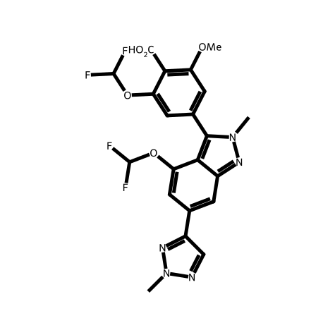 COc1cc(-c2c3c(OC(F)F)cc(-c4cnn(C)n4)cc3nn2C)cc(OC(F)F)c1C(=O)O